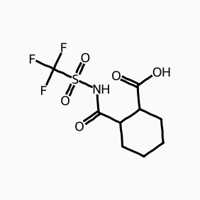 O=C(O)C1CCCCC1C(=O)NS(=O)(=O)C(F)(F)F